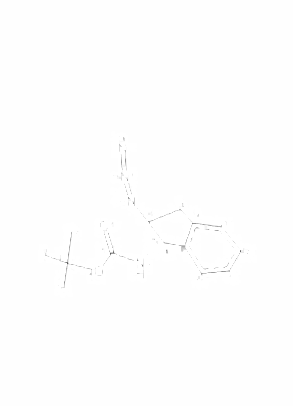 CC(C)(C)OC(=O)N[C@H]1c2ccccc2CC1N=[N+]=[N-]